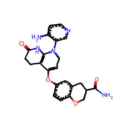 NC(=O)C1COc2ccc(OC3=CCN(c4cnccc4N)C4=C3CCC(=O)N4)cc2C1